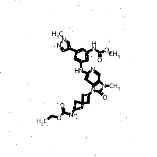 CCOC(=O)NC1CC2(C1)CC(n1c(=O)n(C)c3cnc(Nc4cc(NC(=O)OC)cc(-c5cnn(C)c5)c4)cc31)C2